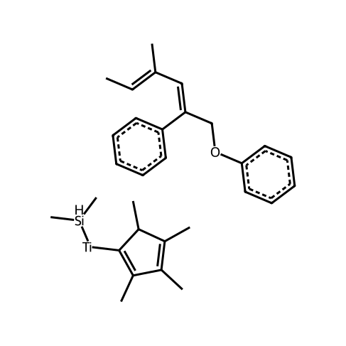 CC1=C(C)C(C)[C]([Ti][SiH](C)C)=C1C.CC=C(C)C=C(COc1ccccc1)c1ccccc1